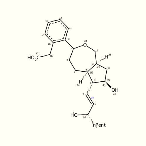 CCCCC[C@H](O)/C=C/[C@@H]1[C@H]2CCC(c3ccccc3CC(=O)O)OC[C@H]2C[C@H]1O